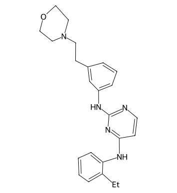 CCc1ccccc1Nc1ccnc(Nc2cccc(CCN3CCOCC3)c2)n1